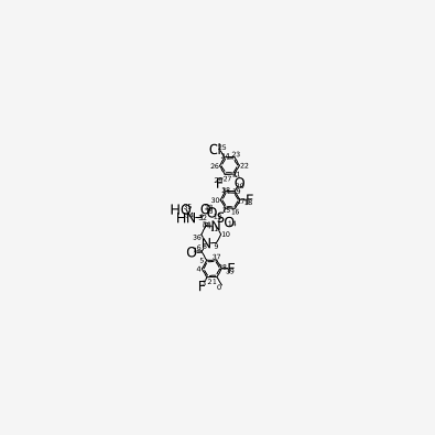 Cc1c(F)cc(C(=O)N2CCN(S(=O)(=O)c3cc(F)c(Oc4ccc(Cl)cc4)c(F)c3)[C@@H](C(=O)NO)C2)cc1F